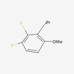 COc1ccc(F)c(F)c1C(C)C